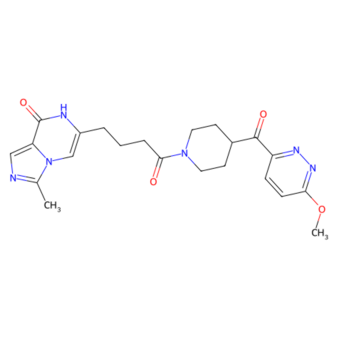 COc1ccc(C(=O)C2CCN(C(=O)CCCc3cn4c(C)ncc4c(=O)[nH]3)CC2)nn1